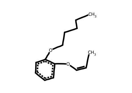 C/C=C\Oc1ccccc1OCCCCC